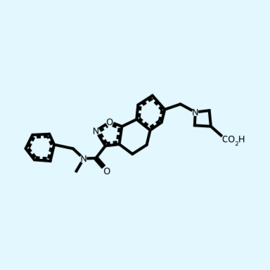 CN(Cc1ccccc1)C(=O)c1noc2c1CCc1cc(CN3CC(C(=O)O)C3)ccc1-2